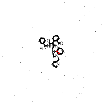 CC[C@H](NC(=O)c1c(CN2CCN(Cc3ccccn3)CC2)n(-c2ccccc2)c(=O)c2ccccc12)c1ccccc1